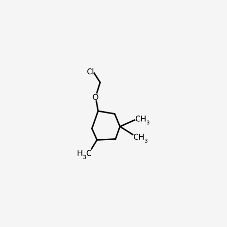 CC1CC(OCCl)CC(C)(C)C1